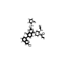 C=CC(=O)N1CCN(c2nc(OC[C@@H]3CCCN3C)nc3c(F)c(-c4cccc5cc(Cl)sc45)ccc23)C[C@@H]1CC#N